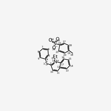 CC[n+]1c(Sc2ccccc2)ccc2ccccc21.Cc1ccc(S(=O)(=O)[O-])cc1